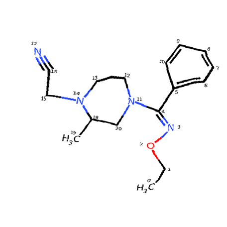 CCON=C(c1ccccc1)N1CCN(CC#N)C(C)C1